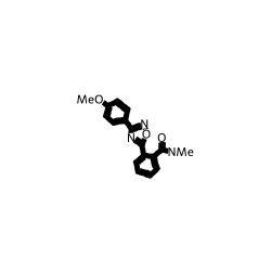 CNC(=O)c1ccccc1-c1nc(-c2ccc(OC)cc2)no1